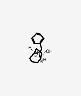 O[C@H]1C[C@@H]2CCC[C@H]1N2Cc1ccccc1